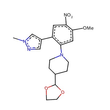 COc1cc(N2CCC(C3OCCO3)CC2)c(-c2cnn(C)c2)cc1[N+](=O)[O-]